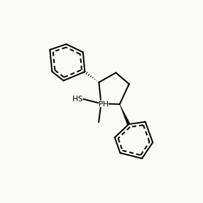 C[PH]1(S)[C@H](c2ccccc2)CC[C@H]1c1ccccc1